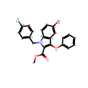 COC(=O)c1c(Oc2ccccc2)c2cc(Br)ccc2n1Cc1ccc(Cl)cc1